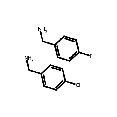 NCc1ccc(Cl)cc1.NCc1ccc(F)cc1